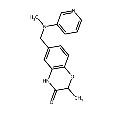 CC1Oc2ccc(CN(C)c3cccnc3)cc2NC1=O